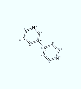 [c]1nnccc1-c1cncnc1